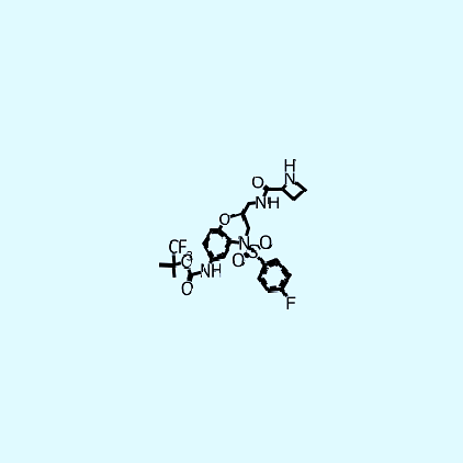 CC(C)(OC(=O)Nc1ccc2c(c1)N(S(=O)(=O)c1ccc(F)cc1)CC(CNC(=O)C1CCN1)O2)C(F)(F)F